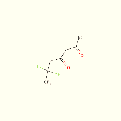 CCC(=O)CC(=O)CC(F)(F)C(F)(F)F